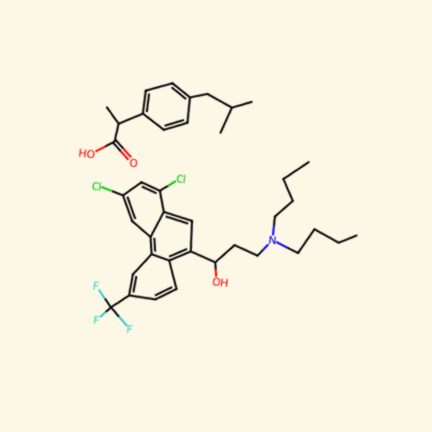 CC(C)Cc1ccc(C(C)C(=O)O)cc1.CCCCN(CCCC)CCC(O)c1cc2c(Cl)cc(Cl)cc2c2cc(C(F)(F)F)ccc12